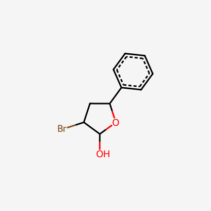 OC1OC(c2ccccc2)CC1Br